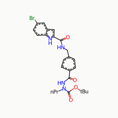 CCCN(NC(=O)c1ccc(CNC(=O)c2cc3cc(Br)ccc3[nH]2)cc1)C(=O)OC(C)(C)C